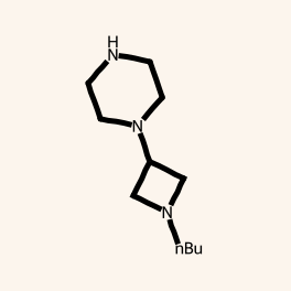 CCCCN1CC(N2CCNCC2)C1